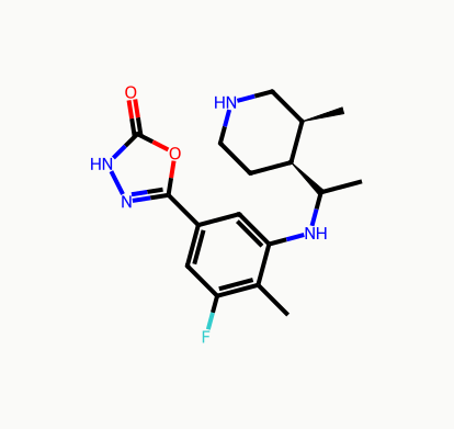 Cc1c(F)cc(-c2n[nH]c(=O)o2)cc1NC(C)[C@H]1CCNC[C@H]1C